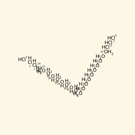 Cl.Cl.Cl.Cl.Cl.Cl.O.O.O.O.O.O.O.O.O.O.O.O.O.O.O.O.O.O.[NaH]